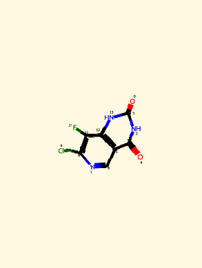 O=c1[nH]c(=O)c2cnc(Cl)c(F)c2[nH]1